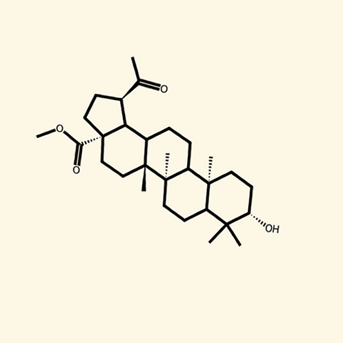 COC(=O)[C@]12CC[C@@H](C(C)=O)C1C1CCC3[C@@]4(C)CC[C@H](O)C(C)(C)C4CC[C@@]3(C)[C@]1(C)CC2